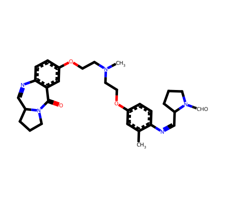 Cc1cc(OCCN(C)CCOc2ccc3c(c2)C(=O)N2CCCC2C=N3)ccc1/N=C\C1CCCN1C=O